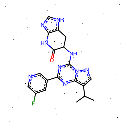 CC(C)c1cnn2c(NC3Cc4[nH]cnc4NC3=O)nc(-c3cncc(F)c3)nc12